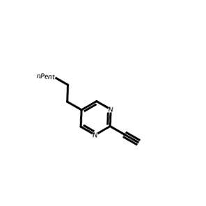 C#Cc1ncc(CCCCCCC)cn1